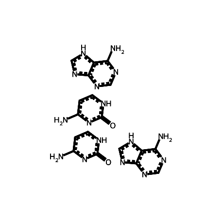 Nc1cc[nH]c(=O)n1.Nc1cc[nH]c(=O)n1.Nc1ncnc2nc[nH]c12.Nc1ncnc2nc[nH]c12